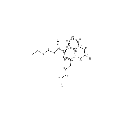 CCCCCC(=O)Oc1cccc(CC(C)C)c1OC(=O)CCCCC